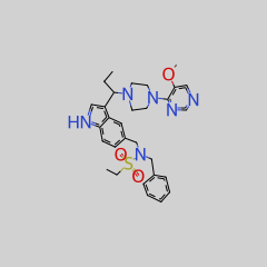 CCC(c1c[nH]c2ccc(CN(Cc3ccccc3)S(=O)(=O)CC)cc12)N1CCN(c2ncncc2OC)CC1